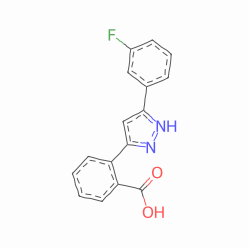 O=C(O)c1ccccc1-c1cc(-c2cccc(F)c2)[nH]n1